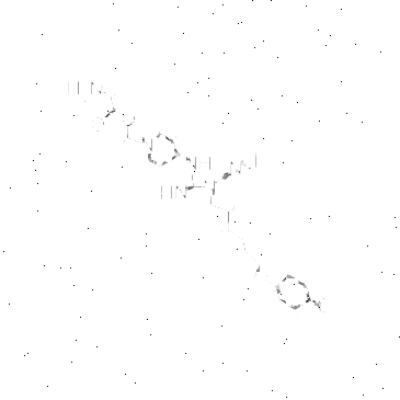 N#CN(CCCCCCOc1ccc(Cl)cc1)C(=N)Nc1cc[n+](COC(=O)CN)cc1.[Cl-]